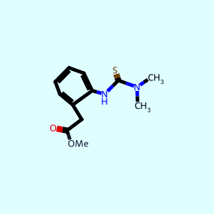 COC(=O)Cc1ccccc1NC(=S)N(C)C